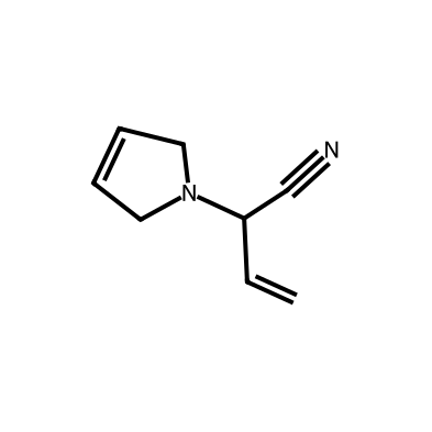 C=CC(C#N)N1CC=CC1